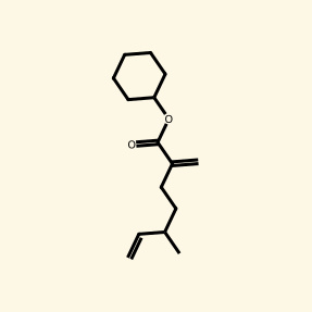 C=CC(C)CCC(=C)C(=O)OC1CCCCC1